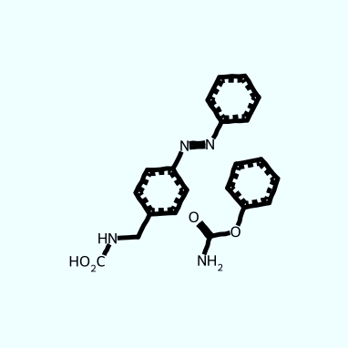 NC(=O)Oc1ccccc1.O=C(O)NCc1ccc(N=Nc2ccccc2)cc1